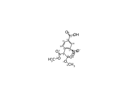 COC(=O)C(C(=O)OC)c1ccc(C(=O)O)cc1[N+](=O)[O-]